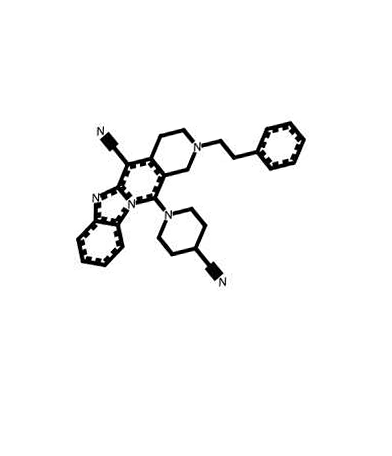 N#Cc1c2c(c(N3CCC(C#N)CC3)n3c1nc1ccccc13)CN(CCc1ccccc1)CC2